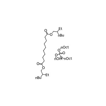 CCCCC(CC)COC(=O)CCCCCCCCC(=O)OCC(CC)CCCC.CCCCCCCCOP(=O)(OCCCCCCCC)OCCCCCCCC